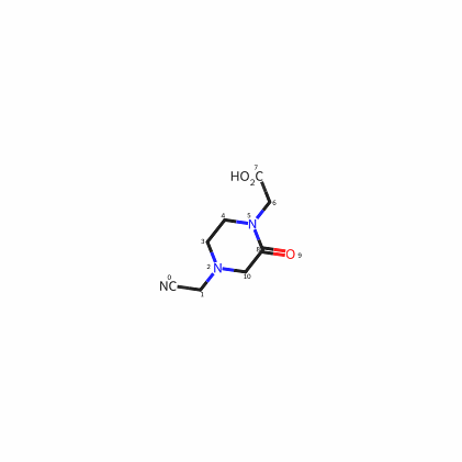 N#CCN1CCN(CC(=O)O)C(=O)C1